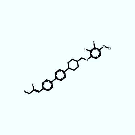 CCOc1ccc(OCC2CCC(c3ccc(-c4ccc(/C=C(\F)CF)cc4)cc3)CC2)c(F)c1F